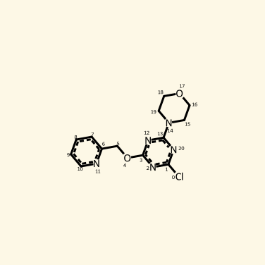 Clc1nc(OCc2ccccn2)nc(N2CCOCC2)n1